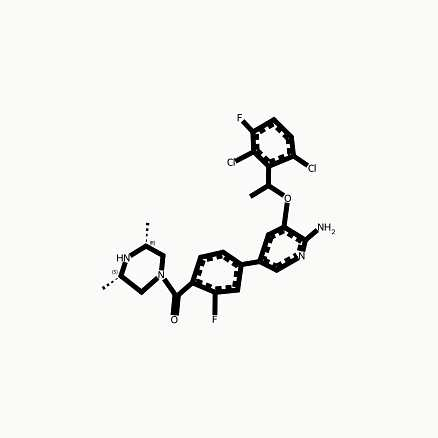 CC(Oc1cc(-c2ccc(C(=O)N3C[C@@H](C)N[C@@H](C)C3)c(F)c2)cnc1N)c1c(Cl)ccc(F)c1Cl